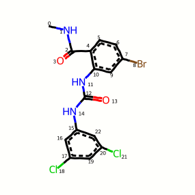 CNC(=O)c1ccc(Br)cc1NC(=O)Nc1cc(Cl)cc(Cl)c1